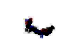 CC(CCNc1cccc2c1CN(C1CCC(=O)NC1=O)C2=O)CC(C)CCN1CCN(c2ccc(Nc3cc(-c4cccc(-n5ccc6cc(C7CC7)cc(F)c6c5=O)c4CO)cn(C)c3=O)nc2)CC1